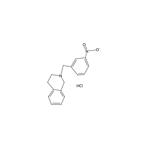 Cl.O=[N+]([O-])c1cccc(CN2CCc3ccccc3C2)c1